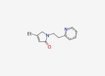 CCC1=CC(=O)N(CCc2ccccn2)C1